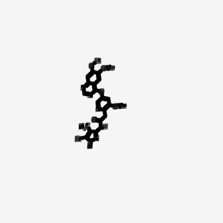 CCOc1cc2ncnc(Oc3cnc(CC(=O)Nc4n[nH]c(CC)c4C)c(OC)c3)c2cc1OC